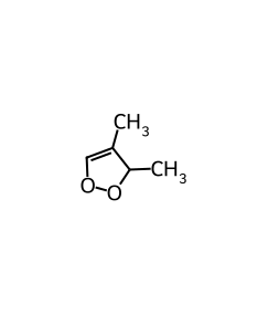 CC1=COOC1C